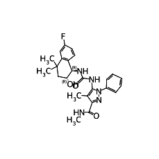 CNC(=O)c1nn(-c2ccccc2)c(NC(=O)N[C@@H]2c3ccc(F)cc3C(C)(C)C[C@H]2O)c1C